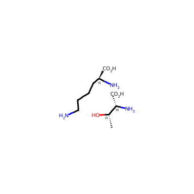 C[C@H](O)[C@@H](N)C(=O)O.NCCCC[C@H](N)C(=O)O